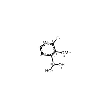 COc1c(B(O)O)ccnc1F